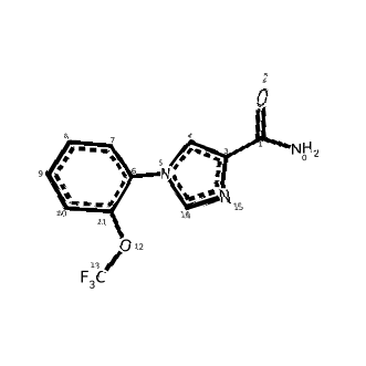 NC(=O)c1cn(-c2ccccc2OC(F)(F)F)cn1